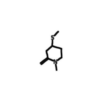 C=C1CC(SC)CCN1C